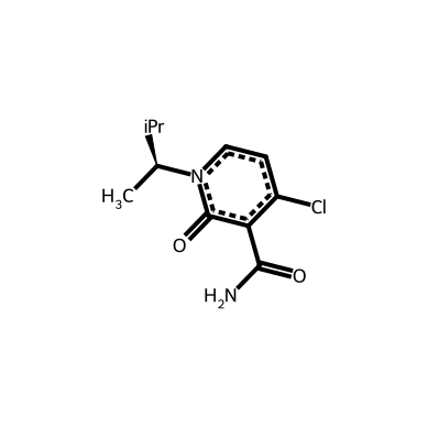 CC(C)[C@H](C)n1ccc(Cl)c(C(N)=O)c1=O